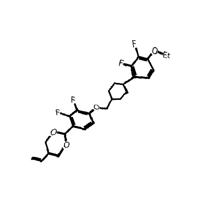 C=CC1COC(c2ccc(OCC3CCC(c4ccc(OCC)c(F)c4F)CC3)c(F)c2F)OC1